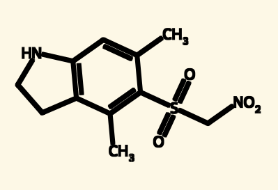 Cc1cc2c(c(C)c1S(=O)(=O)C[N+](=O)[O-])CCN2